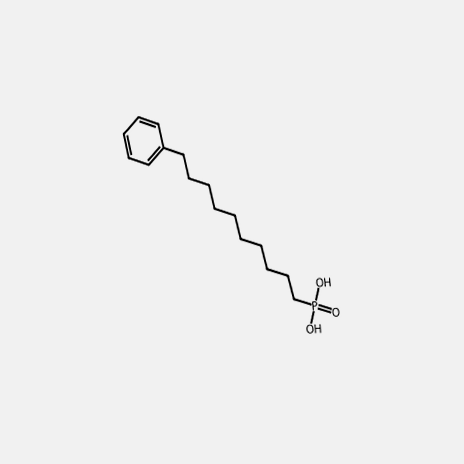 O=P(O)(O)CCCCCCCCCCc1ccccc1